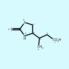 CC(CC(=O)O)C1CSC(=S)N1